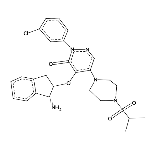 CC(C)S(=O)(=O)N1CCN(c2cnn(-c3cccc(Cl)c3)c(=O)c2OC2Cc3ccccc3[C@H]2N)CC1